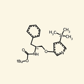 CC(C)(C)OC(=O)N[C@H](COc1cnc[c]([Sn]([CH3])([CH3])[CH3])c1)Cc1ccccc1